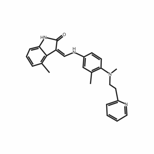 Cc1cc(NC=C2C(=O)Nc3cccc(C)c32)ccc1N(C)CCc1ccccn1